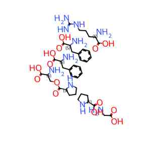 N=C(N)NCCC[C@H](N)C(=O)O.NCC(=O)O.N[C@@H](COC(=O)[C@@H]1CCCN1)C(=O)O.N[C@@H](Cc1ccccc1)C(=O)O.N[C@@H](Cc1ccccc1)C(=O)O.O=C(O)[C@@H]1CCCN1